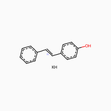 Oc1ccc(/C=C/c2ccccc2)cc1.[KH]